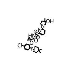 CC1(C)CCN(c2ccc(Cl)cc2OC2(C(=O)NS(=O)(=O)c3cccc(N4CCC(C)(O)C4)n3)CC2)CC1